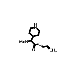 C=CCOC(=O)C(NC)C1CCNCC1